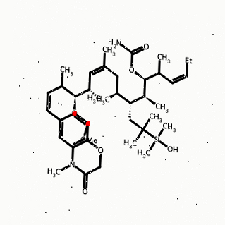 CC/C=C\C(C)[C@H](OC(N)=O)[C@@H](C)[C@H](CC(C)(C)[Si](C)(C)O)[C@@H](C)C/C(C)=C\[C@H](C)[C@@H](OCOC)C(C)/C=C\c1ccc2c(c1)N(C)C(=O)CO2